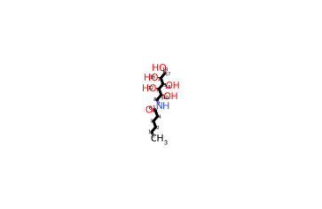 CCCCCC(=O)NC[C@H](O)[C@@H](O)[C@H](O)[C@H](O)CO